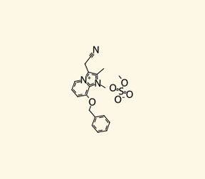 COS(=O)(=O)[O-].Cc1c(CC#N)[n+]2cccc(OCc3ccccc3)c2n1C